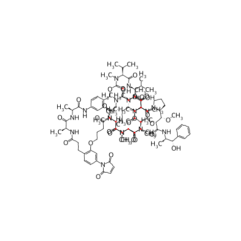 CC[C@H](C)[C@@H]([C@@H](CC(=O)N1CCC[C@H]1[C@H](OC)[C@@H](C)C(=O)N[C@H](C)[C@@H](O)c1ccccc1)OC)N(C)C(=O)[C@@H](NC(=O)[C@H](C(C)C)N(C)C(=O)OCc1ccc(NC(=O)[C@H](C)NC(=O)[C@H](C)NC(=O)CCc2ccc(N3C(=O)C=CC3=O)cc2OCCCC(=O)N(C)CC(=O)N(C)CC(=O)N(C)CC(=O)N(C)CC(=O)N(C)CC(=O)N(C)CC(=O)N(C)CC(=O)N(C)CC(=O)N(C)CC(=O)N(C)CC(=O)O)cc1)C(C)C